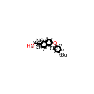 CC(C)(C)C1CCC(Oc2ccc3cc(C(C)(CO)[N+](=O)[O-])ccc3c2C(F)(F)F)CC1